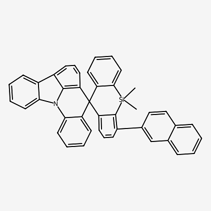 C[Si]1(C)c2ccccc2C2(c3ccccc3-n3c4ccccc4c4cccc2c43)c2cccc(-c3ccc4ccccc4c3)c21